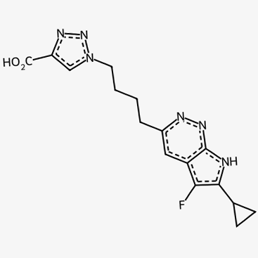 O=C(O)c1cn(CCCCc2cc3c(F)c(C4CC4)[nH]c3nn2)nn1